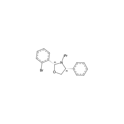 CC(C)N1[C@@H](c2ccccc2Br)OC[C@H]1c1ccccc1